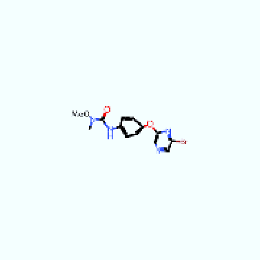 CON(C)C(=O)Nc1ccc(Oc2cncc(Br)n2)cc1